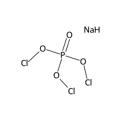 O=P(OCl)(OCl)OCl.[NaH]